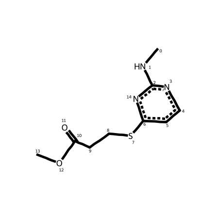 CNc1nccc(SCCC(=O)OC)n1